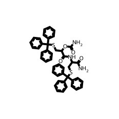 NC(=O)OC(CSC(c1ccccc1)(c1ccccc1)c1ccccc1)C(=O)NC(CSC(c1ccccc1)(c1ccccc1)c1ccccc1)C(N)=O